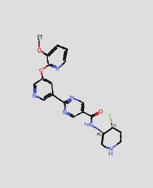 CCOc1cccnc1Oc1cncc(-c2ncc(C(=O)N[C@@H]3CNCC[C@@H]3F)cn2)c1